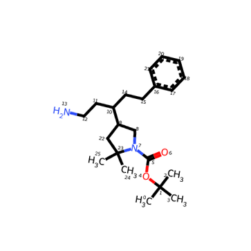 CC(C)(C)OC(=O)N1CC(C(CCN)CCc2ccccc2)CC1(C)C